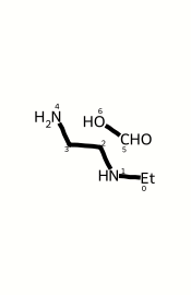 CCNCCN.O=CO